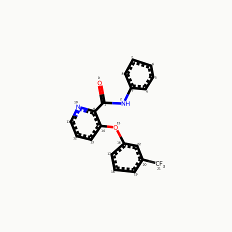 O=C(Nc1ccccc1)c1ncccc1Oc1cccc(C(F)(F)F)c1